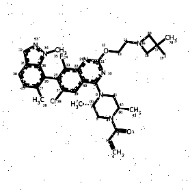 C=CC(=O)N1C[C@H](C)N(c2nc(OCCN3CC(C)(I)C3)nc3c(F)c(-c4c(C)ccc5cnn(C)c45)c(Cl)cc23)C[C@H]1C